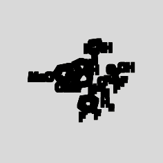 COc1ccc([C@@]23CC[C@@H](N(C(N)=O)c4ccc(F)c(F)c4)C[C@@H]2N(Cc2ncc[nH]2)CC3)cc1OC.O=C(O)C(F)(F)F